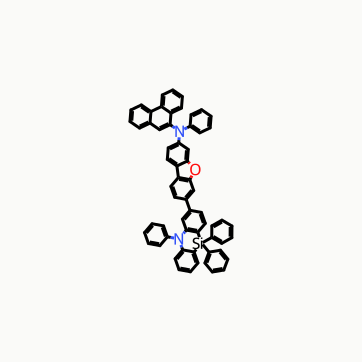 c1ccc(N2c3ccccc3[Si](c3ccccc3)(c3ccccc3)c3ccc(-c4ccc5c(c4)oc4cc(N(c6ccccc6)c6cc7ccccc7c7ccccc67)ccc45)cc32)cc1